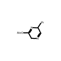 COC1=NC(C(C)C)C=NC1